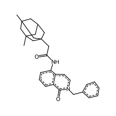 CC12CC3CC(C)(C1)CC(CC(=O)Nc1cccc4c(=O)n(Cc5ccccc5)ccc14)(C3)C2